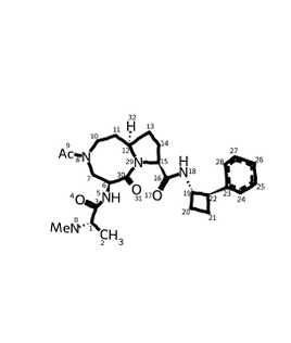 CN[C@@H](C)C(=O)N[C@H]1CN(C(C)=O)CC[C@H]2CC[C@@H](C(=O)N[C@H]3CC[C@@H]3c3ccccc3)N2C1=O